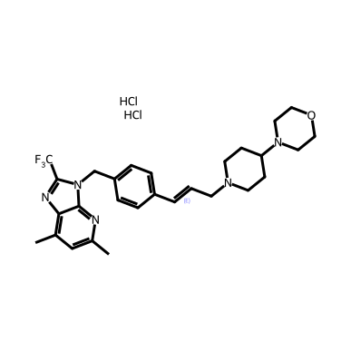 Cc1cc(C)c2nc(C(F)(F)F)n(Cc3ccc(/C=C/CN4CCC(N5CCOCC5)CC4)cc3)c2n1.Cl.Cl